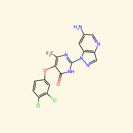 Nc1cnc2cnn(-c3nc(C(F)(F)F)c(Oc4ccc(Cl)c(Cl)c4)c(=O)[nH]3)c2c1